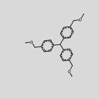 COCc1ccc(C(c2ccc(COC)cc2)c2ccc(COC)cc2)cc1